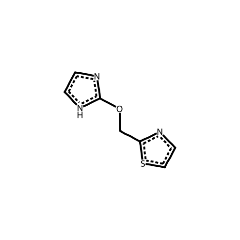 c1c[nH]c(OCc2nccs2)n1